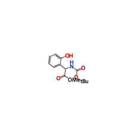 COC(=O)C(NC(=O)OC(C)(C)C)c1ccccc1O